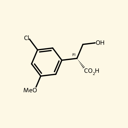 COc1cc(Cl)cc([C@H](CO)C(=O)O)c1